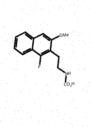 COc1cc2ccccc2c(F)c1CCNC(=O)O